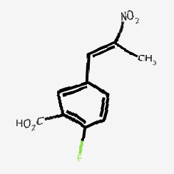 CC(=Cc1ccc(F)c(C(=O)O)c1)[N+](=O)[O-]